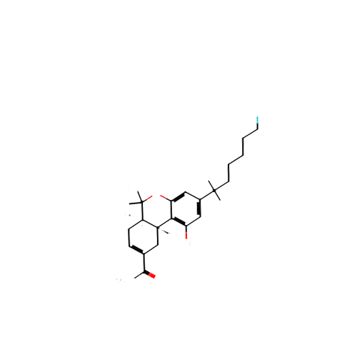 COC(=O)C1=CC[C@@H]2[C@@H](C1)c1c(O)cc(C(C)(C)CCCCCF)cc1OC2(C)C